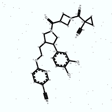 N#Cc1ccc(OCCC2CN(C(=O)C3CN(C(=O)C4(C#N)CC4)C3)CC2c2ccc(Cl)c(Cl)c2)nc1